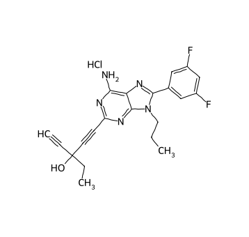 C#CC(O)(C#Cc1nc(N)c2nc(-c3cc(F)cc(F)c3)n(CCC)c2n1)CC.Cl